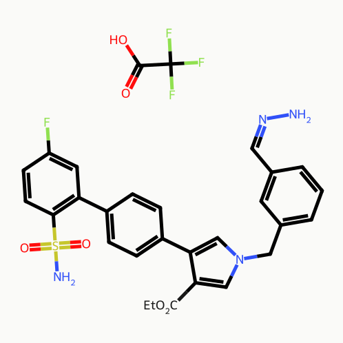 CCOC(=O)c1cn(Cc2cccc(/C=N\N)c2)cc1-c1ccc(-c2cc(F)ccc2S(N)(=O)=O)cc1.O=C(O)C(F)(F)F